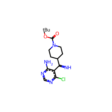 CC(C)(C)OC(=O)N1CCC(C(=N)c2c(N)ncnc2Cl)CC1